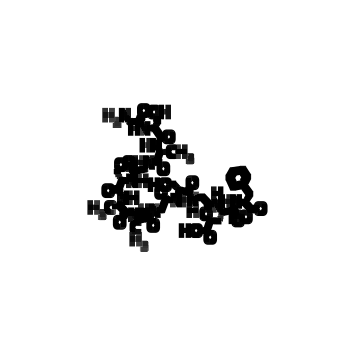 C[C@H](NC(=O)[C@H](C)NC(=O)[C@H](CO)NC(=O)CNC(=O)[C@H](C)NC(=O)[C@H](CO)NC(=O)CN)C(=O)NCC(=O)N[C@@H](CO)C(=O)NCC(=O)N[C@@H](CCC(=O)O)C(=O)N[C@@H](Cc1ccccc1)C(=O)O